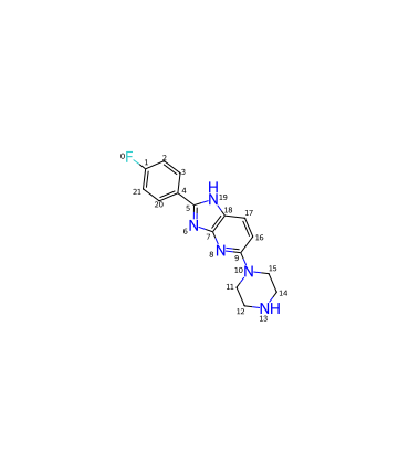 Fc1ccc(-c2nc3nc(N4CCNCC4)ccc3[nH]2)cc1